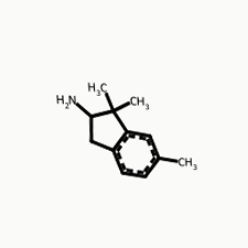 Cc1ccc2c(c1)C(C)(C)C(N)C2